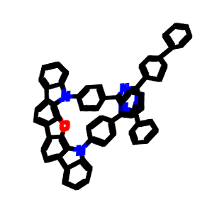 c1ccc(-c2ccc(-c3nc(-c4ccccc4)nc(-c4ccc(-n5c6ccccc6c6ccc7c8ccc9c%10ccccc%10n(-c%10ccc(-c%11ccccc%11)cc%10)c9c8oc7c65)cc4)n3)cc2)cc1